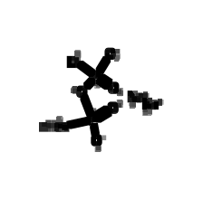 CCCCCCP(=O)([O-])OP(=O)([O-])CC.[Na+].[Na+]